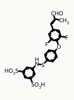 C/C(C=O)=C\c1cc(F)c(Oc2ccc(SNc3cc(S(=O)(=O)O)cc(S(=O)(=O)O)c3)cc2)c(F)c1